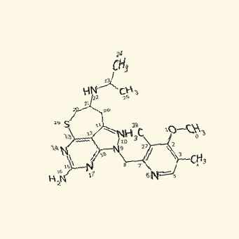 COc1c(C)cnc(Cn2nc3c4c(nc(N)nc42)SCC(NC(C)C)C3)c1C